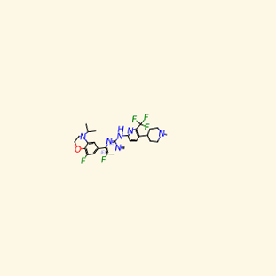 C=N/C(=N\C(=C(/C)F)c1cc(F)c2c(c1)N(C(C)C)CCO2)Nc1ccc(C2CCN(C)CC2)c(C(F)(F)F)n1